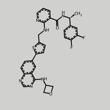 C[C@H](NC(=O)c1cccnc1NCc1ccc(-c2ccc3ncnc(NC4COC4)c3c2)s1)c1ccc(F)c(F)c1